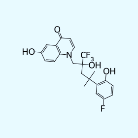 CC(C)(CC(O)(Cn1ccc(=O)c2cc(O)ccc21)C(F)(F)F)c1cc(F)ccc1O